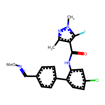 CO/N=C/c1ccc(-c2ccc(Cl)cc2NC(=O)c2c(C)nn(C)c2F)cc1